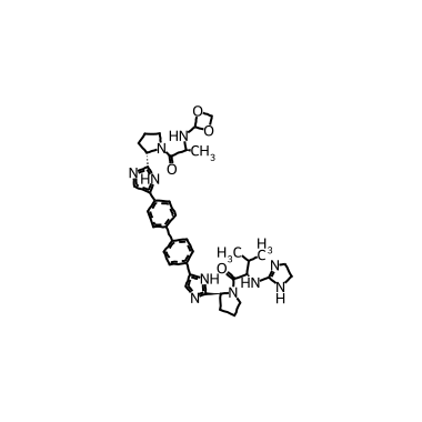 CC(C)[C@H](NC1=NCCN1)C(=O)N1CCC[C@H]1c1ncc(-c2ccc(-c3ccc(-c4cnc([C@@H]5CCCN5C(=O)[C@H](C)NC5OCO5)[nH]4)cc3)cc2)[nH]1